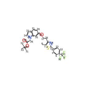 Cc1sc(-c2ccc(C(F)(F)F)cc2)nc1CCOc1ccc2ccn(CC(=O)OC(C)(C)C)c2c1